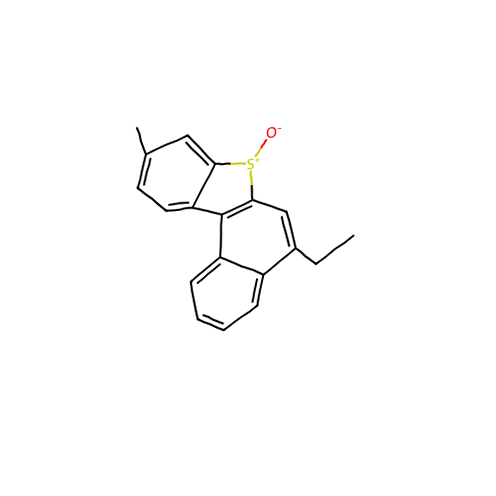 CCc1cc2c(c3ccccc13)c1ccc(C)cc1[s+]2[O-]